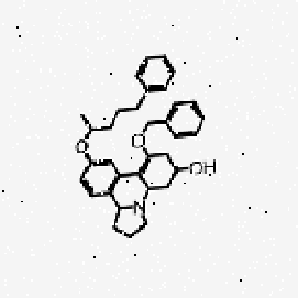 CC(CCCc1ccccc1)Oc1ccc2c(c1)C1=C(OCc3ccccc3)CC(O)CC1N1CCCC21